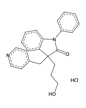 Cl.O=C1N(c2ccccc2)c2ccccc2C1(CCCO)Cc1ccncc1